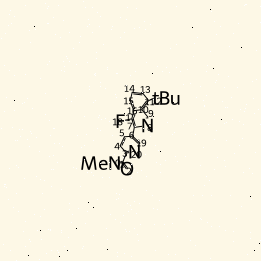 CNC(=O)c1ccc(-c2ncc3c(C(C)(C)C)cccc3c2F)cn1